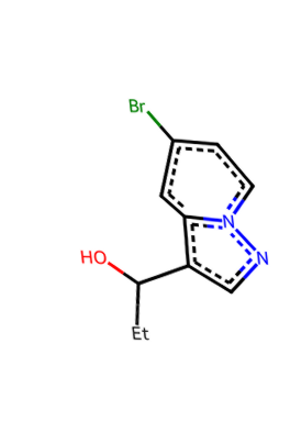 CCC(O)c1cnn2ccc(Br)cc12